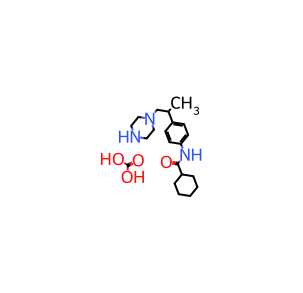 CC(CN1CCNCC1)c1ccc(NC(=O)C2CCCCC2)cc1.O=C(O)O